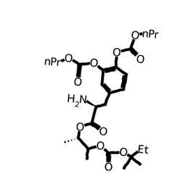 CCCOC(=O)Oc1ccc(C[C@H](N)C(=O)O[C@@H](C)C(C)OC(=O)OC(C)(C)CC)cc1OC(=O)OCCC